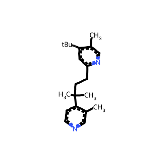 Cc1cnc(CCC(C)(C)c2ccncc2C)cc1C(C)(C)C